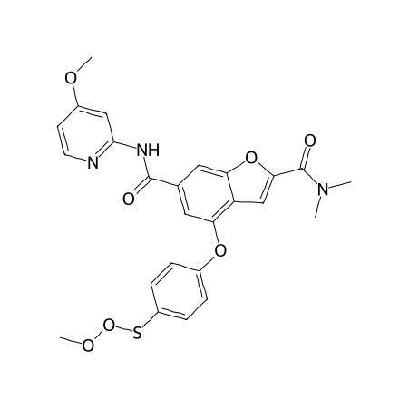 COOSc1ccc(Oc2cc(C(=O)Nc3cc(OC)ccn3)cc3oc(C(=O)N(C)C)cc23)cc1